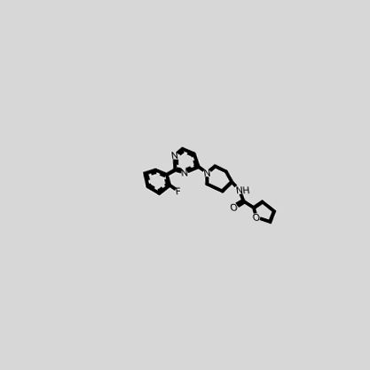 O=C(NC1CCN(c2ccnc(-c3ccccc3F)n2)CC1)C1CCCO1